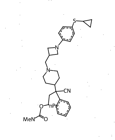 CCC[C@H](CC(C#N)(c1ccccc1)C1CCN(CC2CN(c3ccc(SC4CC4)cc3)C2)CC1)OC(=O)NC